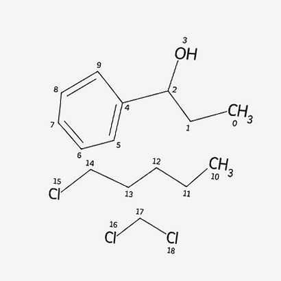 CCC(O)c1ccccc1.CCCCCCl.ClCCl